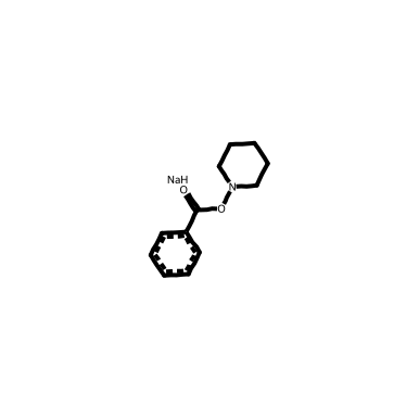 O=C(ON1CCCCC1)c1ccccc1.[NaH]